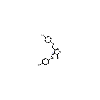 O=C1NN=C(CSc2ccc(Br)cc2)/C1=N/Nc1ccc(Br)cc1